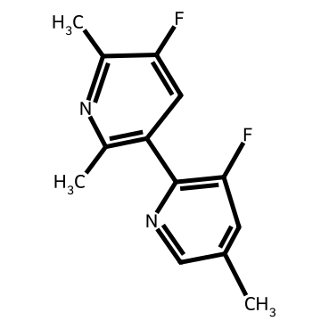 Cc1cnc(-c2cc(F)c(C)nc2C)c(F)c1